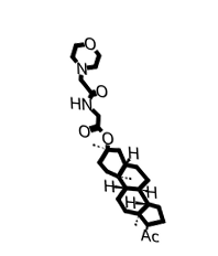 CC(=O)[C@H]1CC[C@H]2[C@@H]3CC[C@H]4C[C@](C)(OC(=O)CNC(=O)CN5CCOCC5)CC[C@]4(C)[C@H]3CC[C@]12C